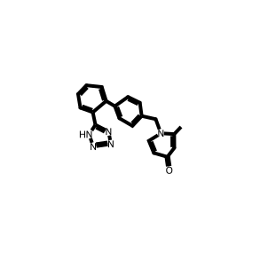 Cc1cc(=O)ccn1Cc1ccc(-c2ccccc2-c2nnn[nH]2)cc1